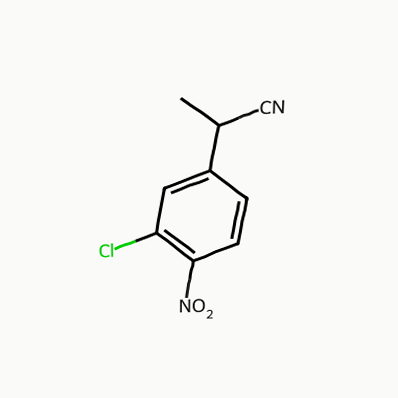 CC(C#N)c1ccc([N+](=O)[O-])c(Cl)c1